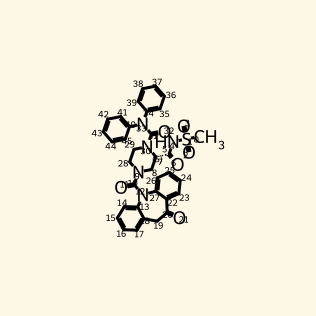 CS(=O)(=O)NC(=O)[C@@H]1CN(C(=O)N2c3ccccc3CC(=O)c3ccccc32)CCN1C(=O)N(c1ccccc1)c1ccccc1